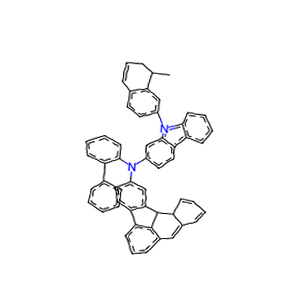 CC1CC=Cc2ccc(-n3c4ccccc4c4ccc(N(c5ccc6c(c5)C5c7c(cccc7-6)C=C6C=CC=CC65)c5ccccc5-c5ccccc5)cc43)cc21